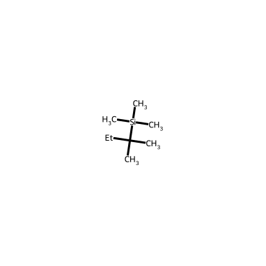 CCC(C)(C)[Si](C)(C)C